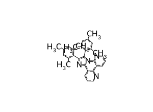 Cc1cc(C)c(-c2nc3c4cccnc4c4cccnc4n3c2-c2c(C)cc(C)cc2C)c(C)c1